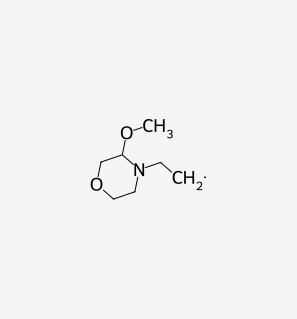 [CH2]CN1CCOCC1OC